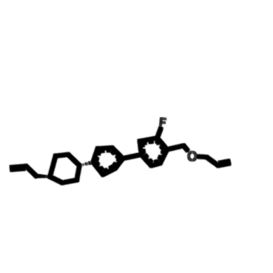 C=CCOCc1ccc(-c2ccc([C@H]3CC[C@H](CC=C)CC3)cc2)cc1F